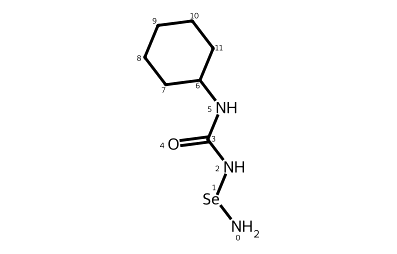 N[Se]NC(=O)NC1CCCCC1